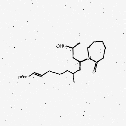 CCCCCC=CCCCC(C)CC(CC(C)C=O)N1CCCCCC1=O